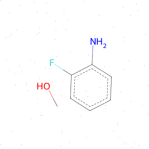 CO.Nc1ccccc1F